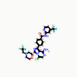 Nc1ncc(Cl)n2c([C@H]3CN(CC(F)(F)F)CCO3)nc(-c3ccc(C(=O)Nc4cc(C(F)(F)F)ccn4)cc3)c12